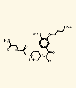 COCCCOc1cc(C(=O)N(C(C)C)[C@@H]2CC[C@@H](CC(=O)NCC(N)=O)NC2)ccc1OC